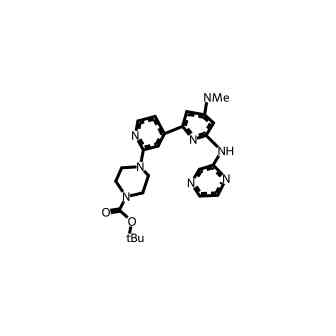 CNc1cc(Nc2cnccn2)nc(-c2ccnc(N3CCN(C(=O)OC(C)(C)C)CC3)c2)c1